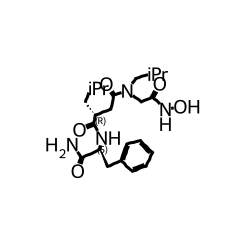 CC(C)C[C@H](CC(=O)N(CC(=O)NO)CC(C)C)C(=O)N[C@@H](Cc1ccccc1)C(N)=O